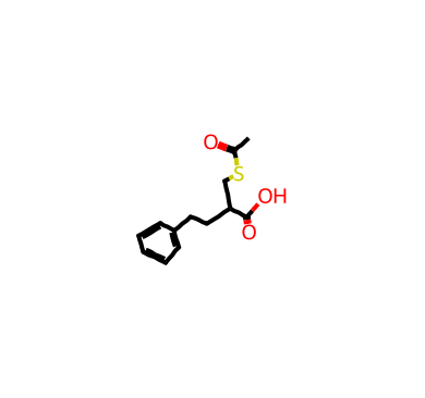 CC(=O)SCC(CCc1ccccc1)C(=O)O